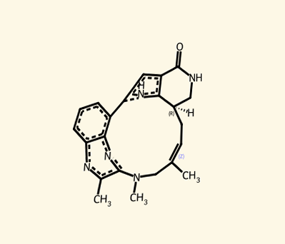 C/C1=C/C[C@@H]2CNC(=O)c3cc([nH]c32)-c2cccc3nc(C)c(nc23)N(C)C1